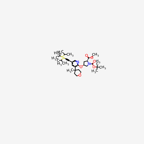 COC(=O)[C@@H]1C[C@H](Oc2ncc(C#CS(C(C)C)(C(C)C)C(C)C)cc2C2(C)CCOCC2)CN1C(=O)OC(C)(C)C